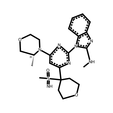 CNc1nc2ccccc2n1-c1nc(N2CCOC[C@H]2C)cc(C2(S(C)(=N)=O)CCOCC2)n1